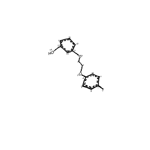 Cc1ccc(OCCOc2cccc(O)c2)cc1